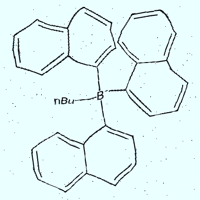 CCCC[B-](c1cccc2ccccc12)(c1cccc2ccccc12)c1cccc2ccccc12